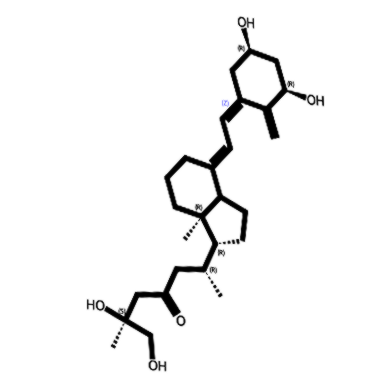 C=C1/C(=C\C=C2CCC[C@@]3(C)C2CC[C@@H]3[C@H](C)CC(=O)C[C@](C)(O)CO)C[C@@H](O)C[C@H]1O